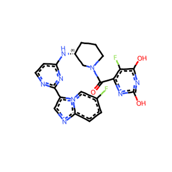 O=C(c1nc(O)nc(O)c1F)N1CCC[C@@H](Nc2ccnc(-c3cnc4ccc(F)cn34)n2)C1